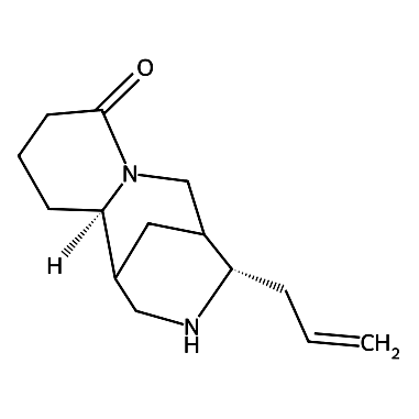 C=CC[C@@H]1NCC2CC1CN1C(=O)CCC[C@H]21